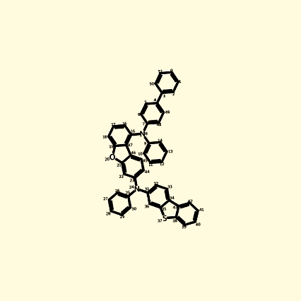 c1ccc(-c2ccc(N(c3ccccc3)c3cccc4oc5cc(N(c6ccccc6)c6ccc7c(c6)sc6ccccc67)ccc5c34)cc2)cc1